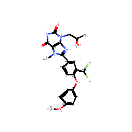 CC(O)Cn1c(=O)[nH]c(=O)c2c1nc(-c1ccc(Oc3ccc(OC(F)(F)F)cc3)c(C(F)F)c1)n2C